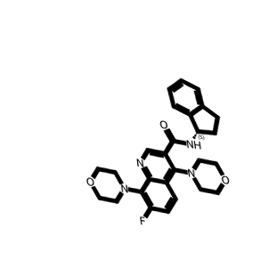 O=C(N[C@H]1CCc2ccccc21)c1cnc2c(N3CCOCC3)c(F)ccc2c1N1CCOCC1